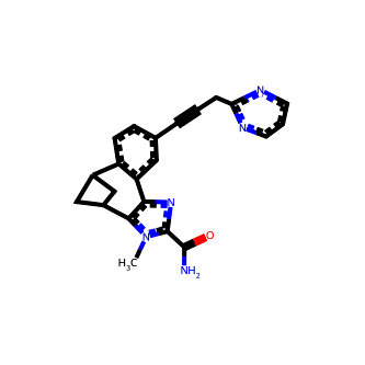 Cn1c(C(N)=O)nc2c1C1CC(C1)c1ccc(C#CCc3ncccn3)cc1-2